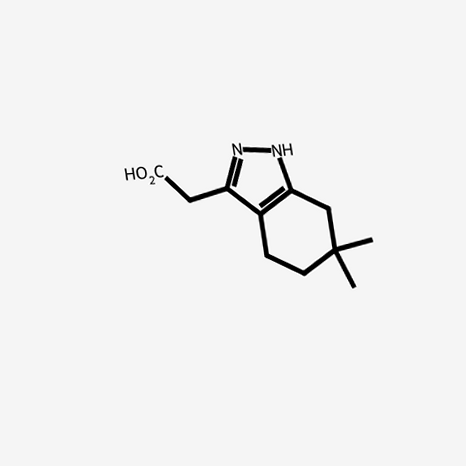 CC1(C)CCc2c(CC(=O)O)n[nH]c2C1